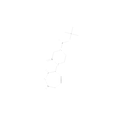 CC(C)(C)OC(=O)N1CCN(C2CCCC(=O)NC2=O)C(=O)C1